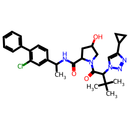 CC(NC(=O)C1CC(O)CN1C(=O)C(n1cc(C2CC2)nn1)C(C)(C)C)c1ccc(-c2ccccc2)c(Cl)c1